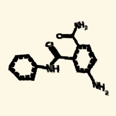 NC(=O)c1ccc(N)cc1C(=O)Nc1ccccc1